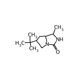 CC1NC(=O)N2CC(C(C)(C)C)CC12